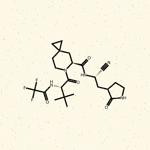 CC(C)(C)[C@H](NC(=O)C(F)(F)F)C(=O)N1CCC2(CC2)C[C@H]1C(=O)N[C@H](C#N)CC1CCNC1=O